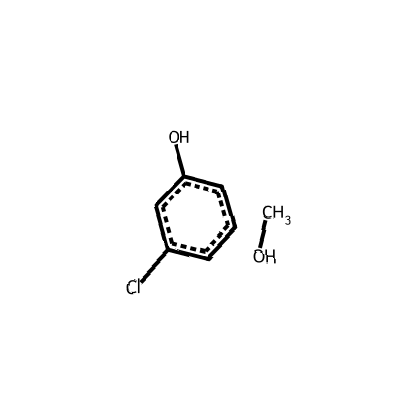 CO.Oc1cccc(Cl)c1